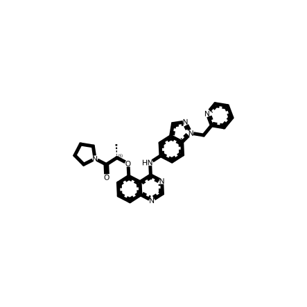 C[C@H](Oc1cccc2ncnc(Nc3ccc4c(cnn4Cc4ccccn4)c3)c12)C(=O)N1CCCC1